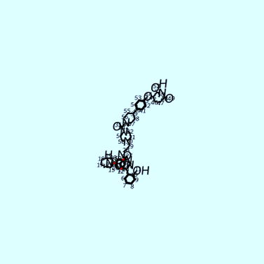 Nc1nnc(-c2ccccc2O)cc1N1CC2CCC(C1)N2c1cccc(OCCN2CCN(C(=O)N3CCC(c4ccc(OC5CCC(=O)NC5=O)cc4)CC3)CC2)c1